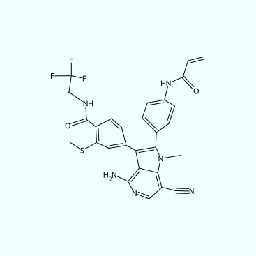 C=CC(=O)Nc1ccc(-c2c(-c3ccc(C(=O)NCC(F)(F)F)c(SC)c3)c3c(N)ncc(C#N)c3n2C)cc1